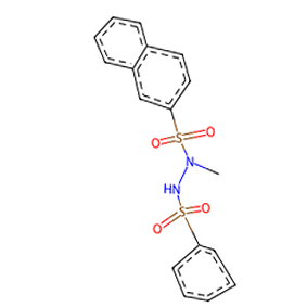 CN(NS(=O)(=O)c1ccccc1)S(=O)(=O)c1ccc2ccccc2c1